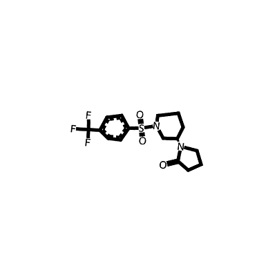 O=C1CCCN1[C@H]1CCCN(S(=O)(=O)c2ccc(C(F)(F)F)cc2)C1